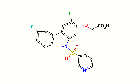 O=C(O)COc1cc(NS(=O)(=O)c2cccnc2)c(-c2cccc(F)c2)cc1Cl